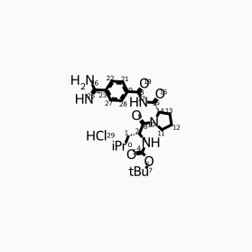 CC(C)C[C@@H](NC(=O)OC(C)(C)C)C(=O)N1CCC[C@H]1C(=O)NC(=O)c1ccc(C(=N)N)cc1.Cl